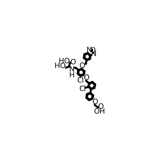 O=C(O)COc1cccc(-c2cccc(COc3cc(OCc4ccc5nonc5c4)c(CNC(CO)C(=O)O)cc3Cl)c2Cl)c1